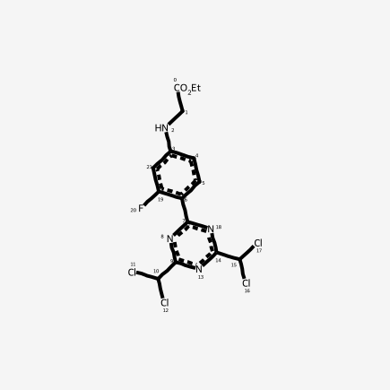 CCOC(=O)CNc1ccc(-c2nc(C(Cl)Cl)nc(C(Cl)Cl)n2)c(F)c1